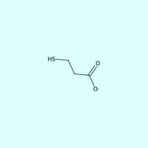 [O]C(=O)CCS